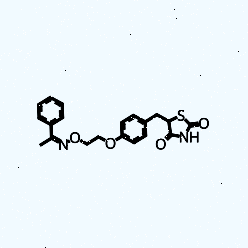 CC(=NOCCOc1ccc(CC2SC(=O)NC2=O)cc1)c1ccccc1